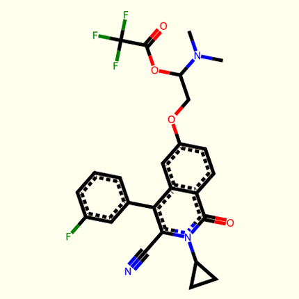 CN(C)C(COc1ccc2c(=O)n(C3CC3)c(C#N)c(-c3cccc(F)c3)c2c1)OC(=O)C(F)(F)F